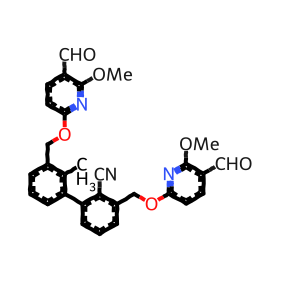 COc1nc(OCc2cccc(-c3cccc(COc4ccc(C=O)c(OC)n4)c3C#N)c2C)ccc1C=O